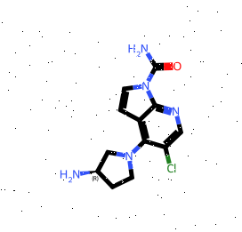 NC(=O)n1c[c]c2c(N3CC[C@@H](N)C3)c(Cl)cnc21